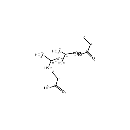 CCC(=O)O.CCC(=O)O.CCCCCCCCC(S)C(=O)O.CCCCCCCCC(S)C(=O)O